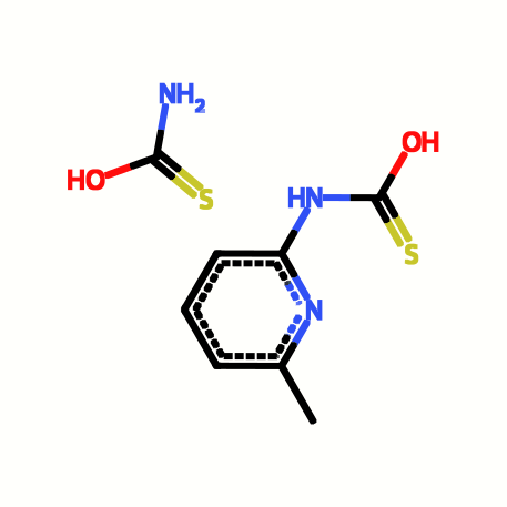 Cc1cccc(NC(O)=S)n1.NC(O)=S